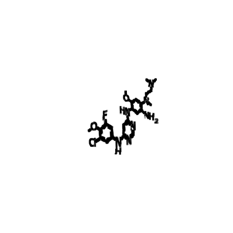 COc1cc(N(C)CCN(C)C)c(N)cc1Nc1cc(Nc2cc(F)c(OC)c(Cl)c2)ncn1